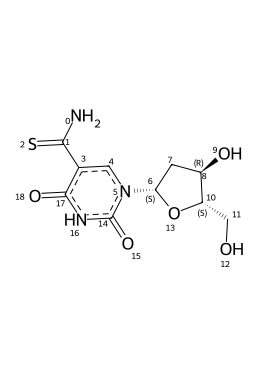 NC(=S)c1cn([C@@H]2C[C@@H](O)[C@H](CO)O2)c(=O)[nH]c1=O